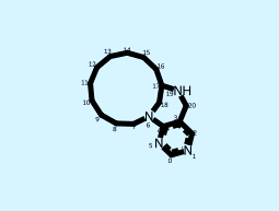 c1ncc2c(n1)N1CCCCCCCCCCC(C1)NC2